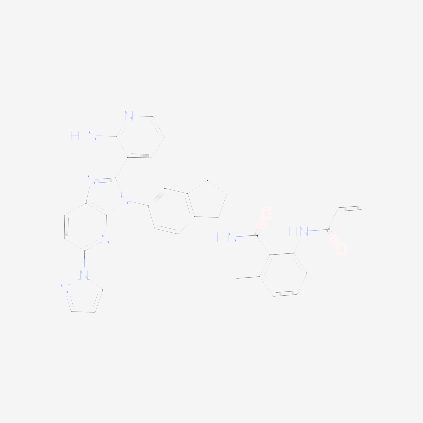 C=CC(=O)Nc1cccc(C)c1C(=O)N[C@H]1CCc2cc(-n3c(-c4cccnc4N)nc4ccc(-n5cccn5)nc43)ccc21